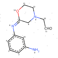 Nc1cccc(N=C2CN(CC=O)CCO2)c1